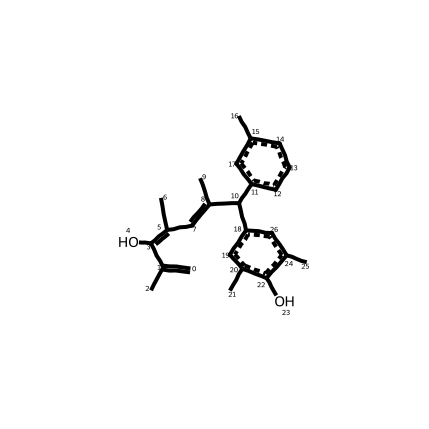 C=C(C)/C(O)=C(C)\C=C(/C)C(c1cccc(C)c1)c1cc(C)c(O)c(C)c1